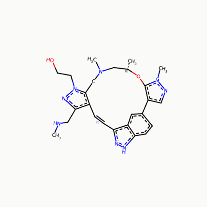 CNCc1nn(CCO)c2c1/C=C/c1n[nH]c3ccc(cc13)-c1cnn(C)c1O[C@@H](C)CN(C)C2